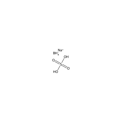 O=S(=O)(O)O.[BH4-].[Na+]